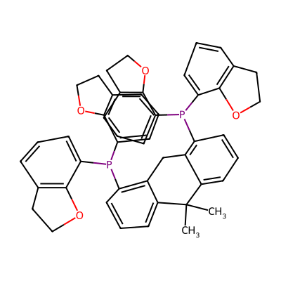 CC1(C)c2cccc(P(c3cccc4c3OCC4)c3cccc4c3OCC4)c2Cc2c(P(c3cccc4c3OCC4)c3cccc4c3OCC4)cccc21